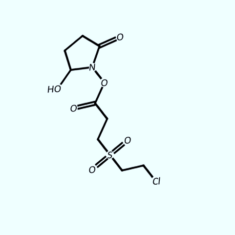 O=C(CCS(=O)(=O)CCCl)ON1C(=O)CCC1O